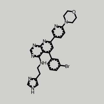 Brc1cccc(-c2cc(-c3ccc(N4CCOCC4)nc3)nc3ncnc(NCCc4c[nH]cn4)c23)c1